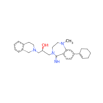 CN1CCN(C[C@H](O)CN2CCc3ccccc3C2)C(=N)c2ccc(C3=CCCCC3)cc21